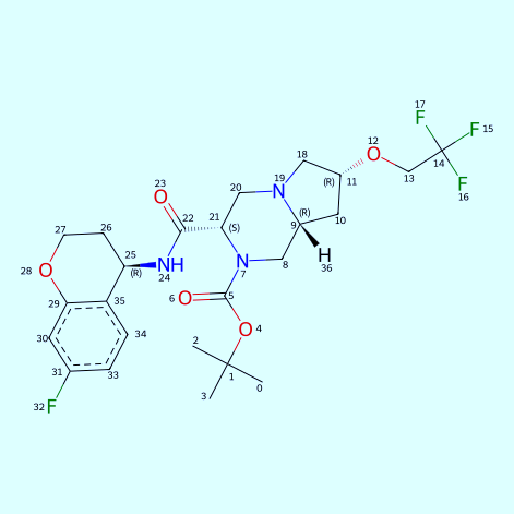 CC(C)(C)OC(=O)N1C[C@H]2C[C@@H](OCC(F)(F)F)CN2C[C@H]1C(=O)N[C@@H]1CCOc2cc(F)ccc21